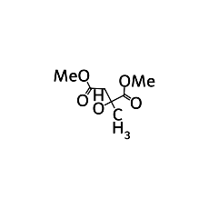 COC(=O)CC(C)(O)C(=O)OC